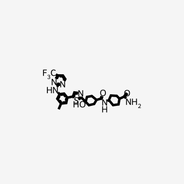 Cc1cc(Nc2nccc(C(F)(F)F)n2)cc(-c2cnc(C3(O)CCC(C(=O)NC4CCC(C(N)=O)CC4)CC3)s2)c1